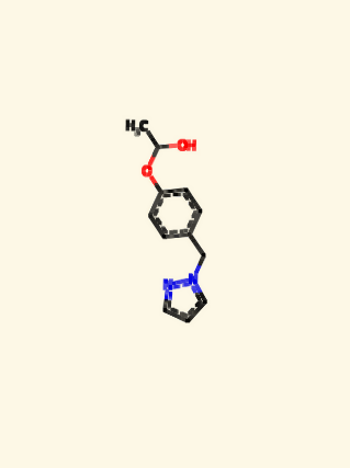 CC(O)Oc1ccc(Cn2cccn2)cc1